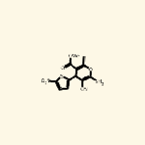 COC(=O)C1=C(C)OC(N)=C(C#N)C1c1ccc([N+](=O)[O-])s1